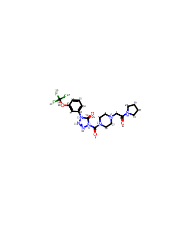 O=C(CN1CCN(C(=O)n2nnn(-c3cccc(OC(F)(F)F)c3)c2=O)CC1)N1CCCC1